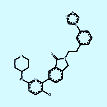 O=C1c2cc(-c3nc(NC4CCOCC4)ncc3Cl)ccc2CN1C[CH]c1cccc(-n2cnnn2)c1